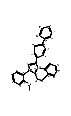 COc1ccccc1-n1cc(-c2ccc(-c3ccccc3)cc2)[n+]2c1CCc1ccccc1-2